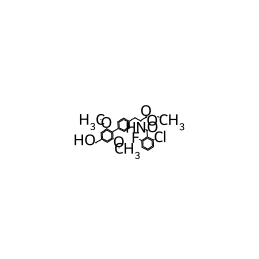 CCOC(=O)C(Cc1ccc(-c2c(OC)cc(CO)cc2OC)cc1)NC(=O)c1c(F)cccc1Cl